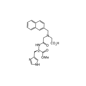 COC(=O)[C@@H](Cc1c[nH]cn1)NC(=O)CN(CC(=O)O)Cc1ccc2ccccc2c1